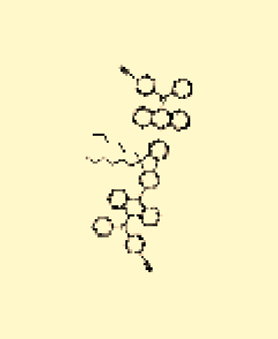 C#Cc1ccc(N(c2ccccc2)c2c3ccccc3c(-c3ccc4c(c3)C(CCCCCC)(CCCCCC)c3cc(-c5c6ccccc6c(N(c6ccccc6)c6ccc(C#C)cc6)c6ccccc56)ccc3-4)c3ccccc23)cc1